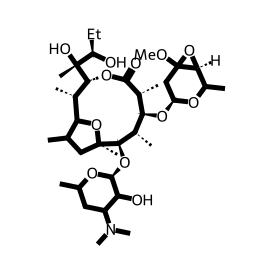 CC[C@@H](O)[C@@](C)(O)[C@@H]1OC(=O)[C@H](C)[C@@H](O[C@H]2CC3(OC)O[C@H]3C(C)O2)[C@H](C)[C@@H](O[C@@H]2OC(C)CC(N(C)C)C2O)[C@@]2(C)CC(C)C(O2)[C@@H]1C